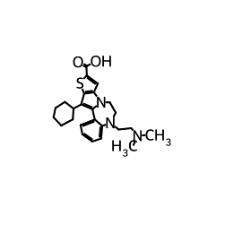 CN(C)CCN1CCn2c(c(C3CCCCC3)c3sc(C(=O)O)cc32)-c2ccccc21